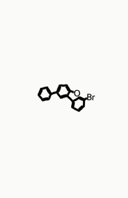 Brc1cccc2c1oc1ccc(-c3ccccc3)cc12